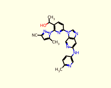 Cc1ccc(Nc2cc3ncn(-c4ccc(C(C)O)c(-n5nc(C#N)cc5C)n4)c3cn2)cn1